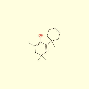 CC1=C(O)C(C2(C)CCCCC2)=CC(C)(C)C1